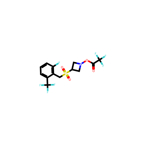 O=C(ON1CC(S(=O)(=O)Cc2c(F)cccc2C(F)(F)F)C1)C(F)(F)F